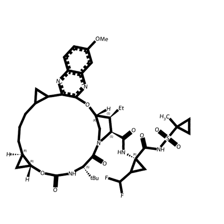 CC[C@@H]1[C@@H]2CN(C(=O)[C@H](C(C)(C)C)NC(=O)O[C@@H]3C[C@H]3CCCC3CC3c3nc4ccc(OC)cc4nc3O2)[C@@H]1C(=O)N[C@]1(C(=O)NS(=O)(=O)C2(C)CC2)CC1C(F)F